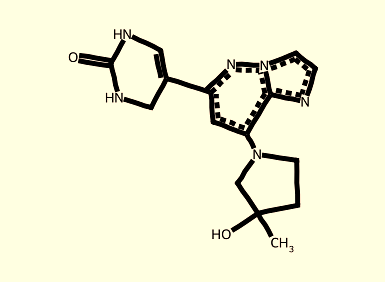 CC1(O)CCN(c2cc(C3=CNC(=O)NC3)nn3ccnc23)C1